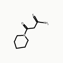 NC(=S)CC(=O)N1CCCCC1